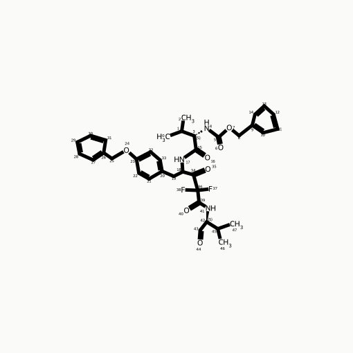 CC(C)[C@H](NC(=O)OCc1ccccc1)C(=O)NC(Cc1ccc(OCc2ccccc2)cc1)C(=O)C(F)(F)C(=O)N[C@H](C=O)C(C)C